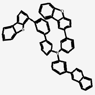 c1cc(-c2cccc(N(c3cccc(-c4ccc5ccccc5c4)c3)c3cccc(-c4ccc5oc6ccccc6c5c4)c3)c2)cc(-c2cccc3c2sc2ccccc23)c1